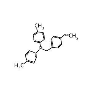 C=Cc1ccc(CP(c2ccc(C)cc2)c2ccc(C)cc2)cc1